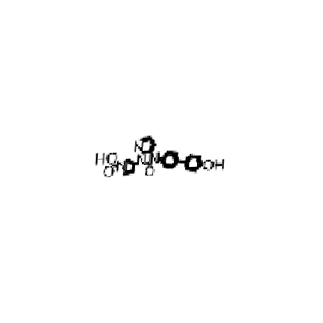 O=C(O)N1CCC(n2c(=O)n(-c3ccc(-c4ccc(O)cc4)cc3)c3cccnc32)C1